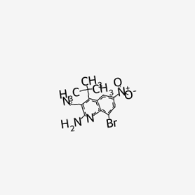 CC(C)(C)c1c(C#N)c(N)nc2c(Br)cc([N+](=O)[O-])cc12